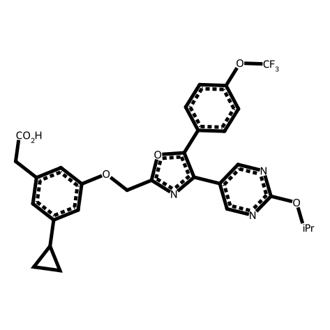 CC(C)Oc1ncc(-c2nc(COc3cc(CC(=O)O)cc(C4CC4)c3)oc2-c2ccc(OC(F)(F)F)cc2)cn1